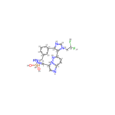 N#Cc1cnc2ccc(-c3c(-c4cccc(CN[SH](=O)=O)c4)ncn3CC(F)F)nn12